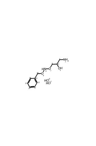 Cl.Cl.NCC(O)CONOCc1ccccc1